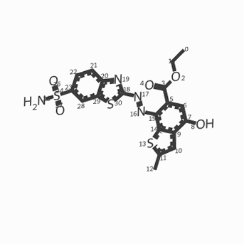 CCOC(=O)c1cc(O)c2cc(C)sc2c1/N=N/c1nc2ccc(S(N)(=O)=O)cc2s1